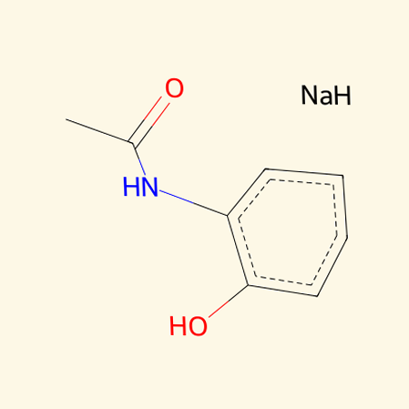 CC(=O)Nc1ccccc1O.[NaH]